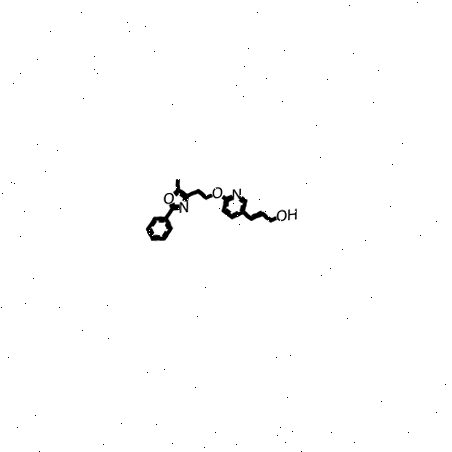 Cc1oc(-c2ccccc2)nc1CCOc1ccc(/C=C/CO)cn1